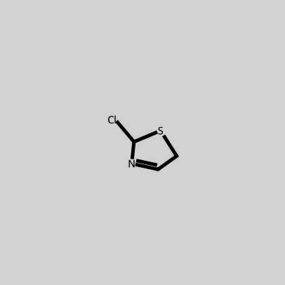 ClC1N=CCS1